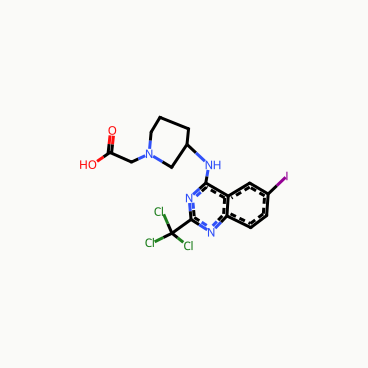 O=C(O)CN1CCCC(Nc2nc(C(Cl)(Cl)Cl)nc3ccc(I)cc23)C1